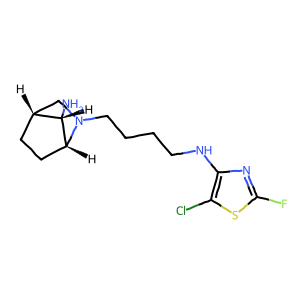 N[C@H]1[C@@H]2CC[C@H]1N(CCCCNc1nc(F)sc1Cl)C2